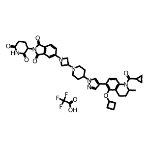 CC1CCc2c(ccc(-c3cnn(C4CCN(C5CN(c6ccc7c(c6)C(=O)N(C6CCC(=O)NC6=O)C7=O)C5)CC4)c3)c2OC2CCC2)N1C(=O)C1CC1.O=C(O)C(F)(F)F